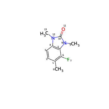 Cc1ccc2c(c1F)n(C)c(=O)n2C